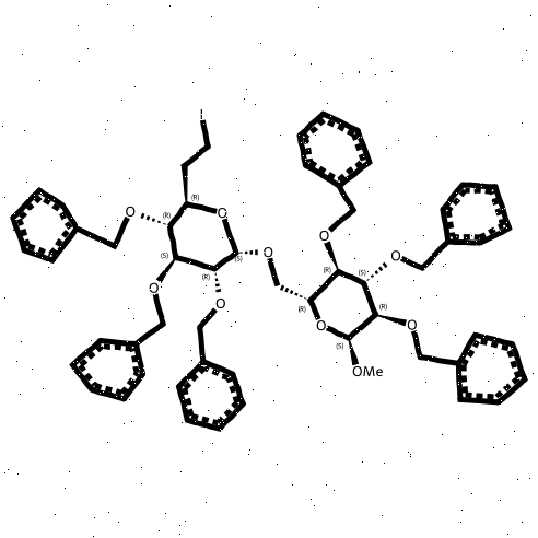 CO[C@H]1O[C@H](CO[C@H]2O[C@H](CCI)[C@@H](OCc3ccccc3)[C@H](OCc3ccccc3)[C@H]2OCc2ccccc2)[C@@H](OCc2ccccc2)[C@H](OCc2ccccc2)[C@H]1OCc1ccccc1